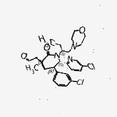 CC[C@@H](CN1CCOCC1)N1C(=O)[C@](C)(CC=O)C[C@H](c2cccc(Cl)c2)[C@H]1c1ccc(Cl)cn1